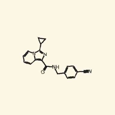 N#Cc1ccc(CNC(=O)c2nc(C3CC3)n3ccccc23)cc1